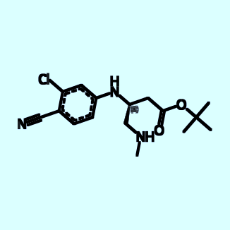 CNC[C@H](CC(=O)OC(C)(C)C)Nc1ccc(C#N)c(Cl)c1